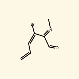 C=C/C=C(Br)\C(C=O)=N/C